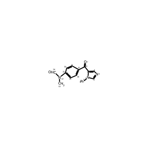 CC(C)n1cncc1C(=O)c1ccc(N(C)C=O)cc1